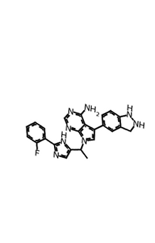 CC(c1cnc(-c2ccccc2F)[nH]1)n1cc(-c2ccc3c(c2)CNN3)c2c(N)ncnc21